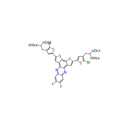 CCCCCCCCC(CCCCCC)Cc1cc(-c2cc3c4nc5cc(F)c(F)cc5nc4c4cc(-c5cc(CC(CCCCCC)CCCCCCCC)c(Br)s5)sc4c3s2)sc1Br